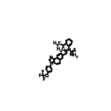 CC(C)c1ccccc1N(/N=C/c1ccc2c(ccc3c2ncn3-c2ccc(OC(F)(F)F)cc2)c1)C(N)=S